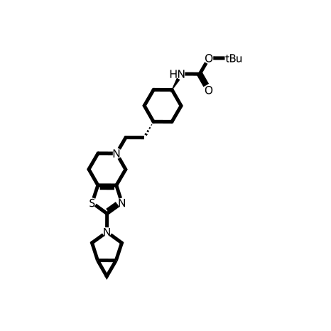 CC(C)(C)OC(=O)N[C@H]1CC[C@H](CCN2CCc3sc(N4CC5CC5C4)nc3C2)CC1